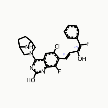 OC(/C=C/c1c(Cl)cc2c(N3CC4CCC(C3)N4)nc(O)nc2c1F)=C(\F)c1ccccc1